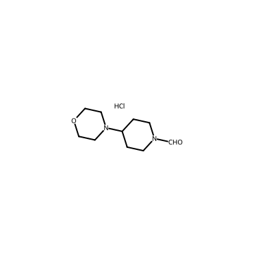 Cl.O=CN1CCC(N2CCOCC2)CC1